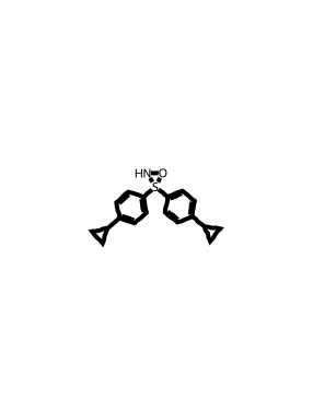 c1cc(S2(c3ccc(C4CC4)cc3)NO2)ccc1C1CC1